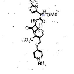 CO/N=C(\C(=O)NC1C(=O)N2C(C(=O)O)=C(CSc3cc[n+](N)cc3)CS[C@@H]12)c1csc(N)n1